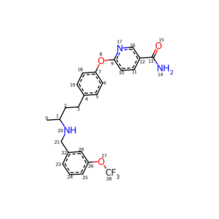 CC(CCc1ccc(Oc2ccc(C(N)=O)cn2)cc1)NCc1cccc(OC(F)(F)F)c1